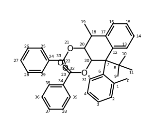 Cc1ccccc1C1(C(C)(C)C)c2ccccc2C(C)C(OC(=O)c2ccccc2)C1OC(=O)c1ccccc1